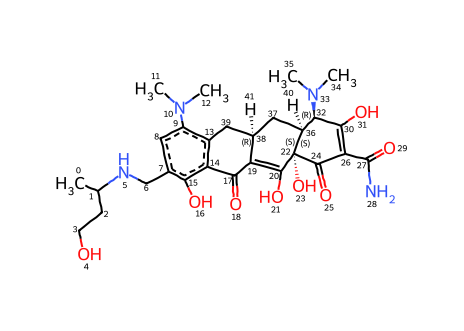 CC(CCO)NCc1cc(N(C)C)c2c(c1O)C(=O)C1=C(O)[C@]3(O)C(=O)C(C(N)=O)=C(O)[C@H](N(C)C)[C@@H]3C[C@@H]1C2